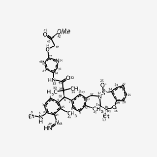 CCNc1ccc([C@H](c2ccc(C)c(CN3C[C@@H](CC)Oc4ccccc4[S+]3[O-])c2)C(C)(C)C(=O)Nc2cnc(OCC(=O)OC)nc2)c(C)c1N=N